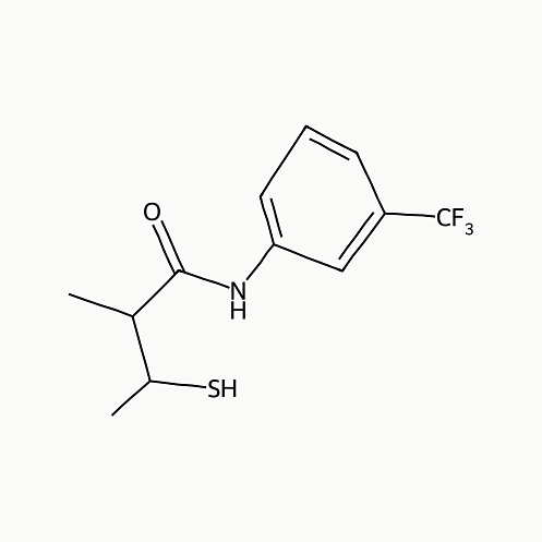 CC(S)C(C)C(=O)Nc1cccc(C(F)(F)F)c1